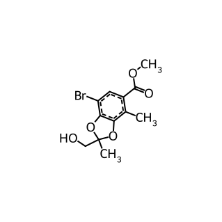 COC(=O)c1cc(Br)c2c(c1C)OC(C)(CO)O2